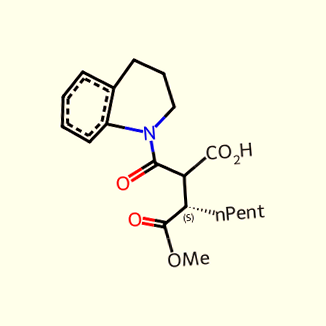 CCCCC[C@H](C(=O)OC)C(C(=O)O)C(=O)N1CCCc2ccccc21